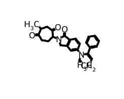 C=CN(/C(=C\C)c1ccccc1)c1ccc2c(c1)CN(C1CCC(=O)C(C)CC1=O)C2=O